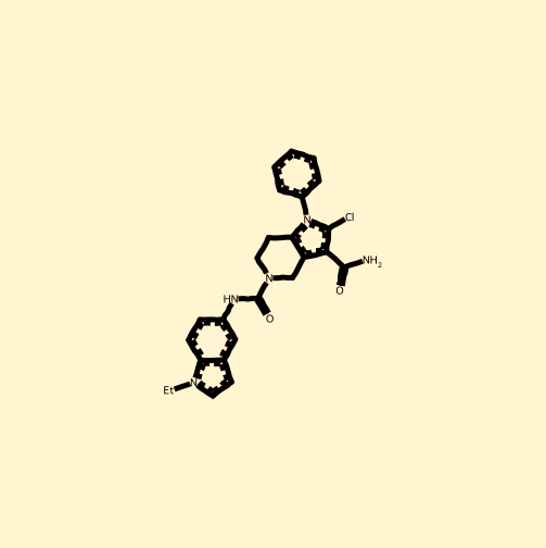 CCn1ccc2cc(NC(=O)N3CCc4c(c(C(N)=O)c(Cl)n4-c4ccccc4)C3)ccc21